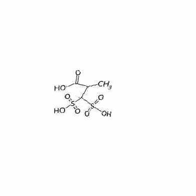 CC([C](S(=O)(=O)O)S(=O)(=O)O)C(=O)O